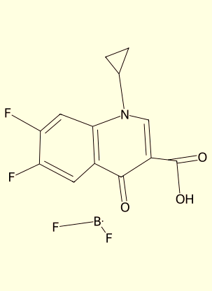 F[B]F.O=C(O)c1cn(C2CC2)c2cc(F)c(F)cc2c1=O